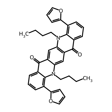 CCCCn1c2cc3c(=O)c4cccc(-c5ccco5)c4n(CCCC)c3cc2c(=O)c2cccc(-c3ccco3)c21